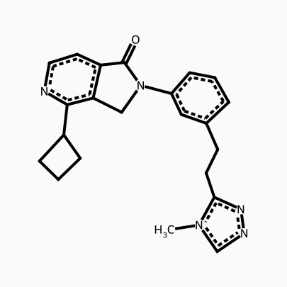 Cn1cnnc1CCc1cccc(N2Cc3c(ccnc3C3CCC3)C2=O)c1